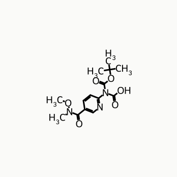 CON(C)C(=O)c1ccc(N(C(=O)O)C(=O)OC(C)(C)C)nc1